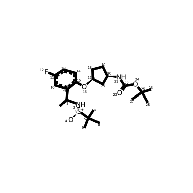 CC(N[S@@+]([O-])C(C)(C)C)c1cc(F)ccc1O[C@H]1CC[C@@H](NC(=O)OC(C)(C)C)C1